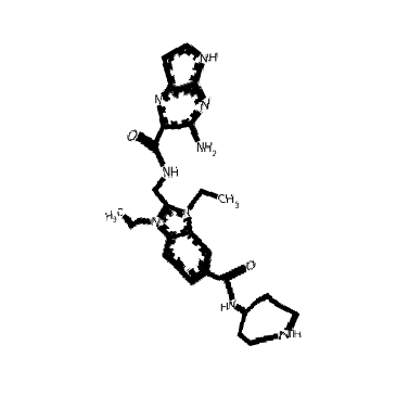 CCn1c(CNC(=O)c2nc3cc[nH]c3nc2N)[n+](CC)c2ccc(C(=O)NC3CCNCC3)cc21